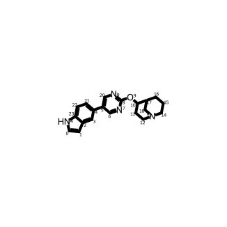 c1cc2cc(-c3cnc(OC4CCN5CCCC4C5)nc3)ccc2[nH]1